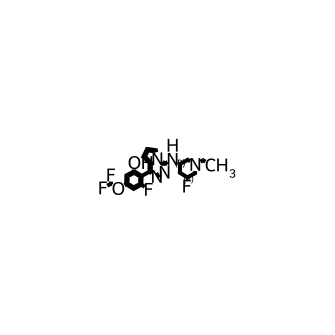 CCN1C[C@H](F)C[C@@H](Nc2nnc(-c3c(O)cc(OC(F)F)cc3F)c3cccn23)C1